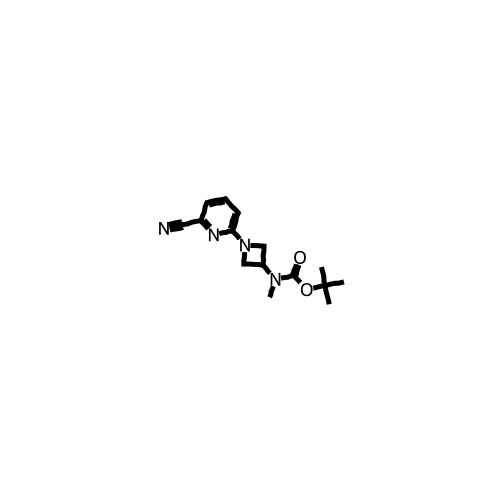 CN(C(=O)OC(C)(C)C)C1CN(c2cccc(C#N)n2)C1